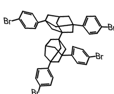 Brc1ccc(C23CC4CC(c5ccc(Br)cc5)(C2)CC(C25CC6CC(c7ccc(Br)cc7)(CC(c7ccc(Br)cc7)(C6)C2)C5)(C4)C3)cc1